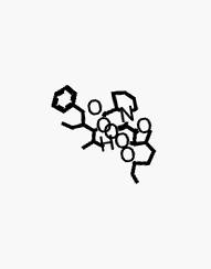 CCC1CCC(C)C(O)(C(=O)C(=O)N2CCCCC2C(=O)OC(C(C)C)C(CC)Cc2ccccc2)O1